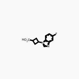 O=C(O)C1CC(n2cnc3cc(F)ccc32)C1